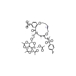 CC(=O)OC[C@H]1OC(OC[C@H](C)N2C[C@@H](C)[C@H](CN(C)S(=O)(=O)c3ccc(F)cc3)OC/C=C/CCOc3ccc([N+](=O)[O-])cc3C2=O)C(OC(C)=O)[C@@H](OC(C)=O)[C@H]1OC(C)=O